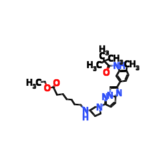 CCOC(=O)CCCCCCNC1CCN(c2ccc3nc(-c4ccc(C)c(NC(=O)C(C)(C)C)c4)cn3n2)C1